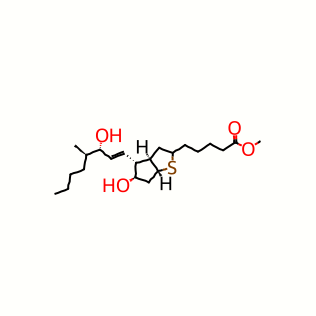 CCCC[C@@H](C)[C@H](O)/C=C/[C@@H]1[C@H]2CC(CCCCC(=O)OC)S[C@@H]2C[C@H]1O